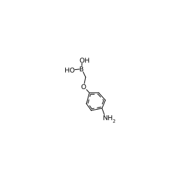 Nc1ccc(OCB(O)O)cc1